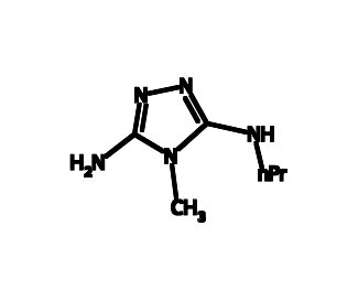 CCCNc1nnc(N)n1C